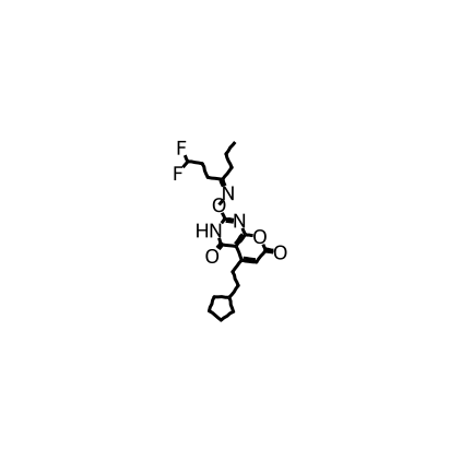 CCC/C(CCC(F)F)=N/Oc1nc2oc(=O)cc(CCC3CCCC3)c2c(=O)[nH]1